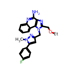 CCOCc1nc2c(N)nc3ccccc3c2n1Cc1cc(-c2ccc(F)cc2)n(C)n1